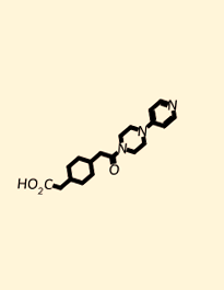 O=C(O)CC1CCC(CC(=O)N2CCN(c3ccncc3)CC2)CC1